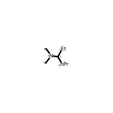 CC[CH]C(CC)N(C)C